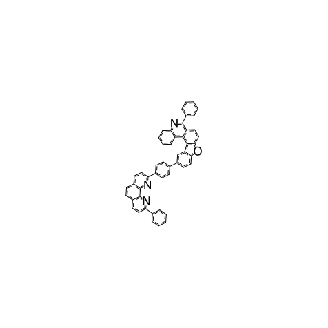 c1ccc(-c2ccc3ccc4ccc(-c5ccc(-c6ccc7oc8ccc9c(-c%10ccccc%10)nc%10ccccc%10c9c8c7c6)cc5)nc4c3n2)cc1